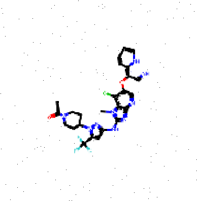 CC(=O)N1CCC(n2nc(Nc3nc4ncc(O/C(C=N)=C5\C=CC=CN5)c(Cl)c4n3C)cc2C(F)(F)F)CC1